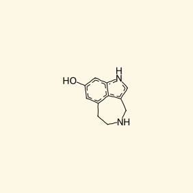 Oc1cc2c3c(c[nH]c3c1)CNCC2